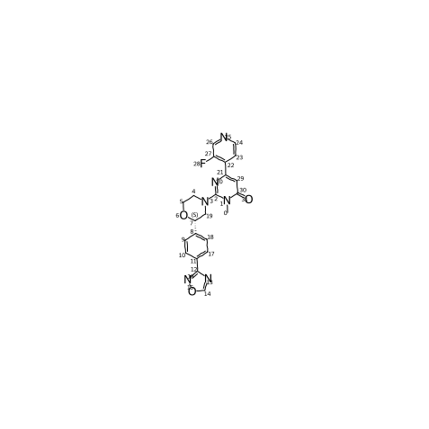 Cn1c(N2CCO[C@@H](c3ccc(-c4ncon4)cc3)C2)nc(-c2ccncc2F)cc1=O